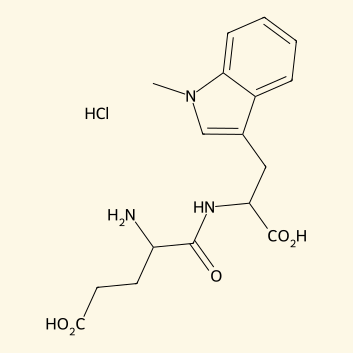 Cl.Cn1cc(CC(NC(=O)C(N)CCC(=O)O)C(=O)O)c2ccccc21